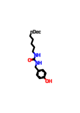 CCCCCCCCCCCCCCCNC(=O)NCc1ccc(O)cc1